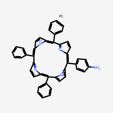 Nc1ccc(-c2c3nc(c(-c4ccccc4)c4ccc([nH]4)c(-c4ccccc4)c4nc(c(-c5ccccc5)c5ccc2[nH]5)C=C4)C=C3)cc1.[Pt]